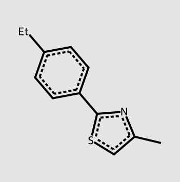 CCc1ccc(-c2nc(C)cs2)cc1